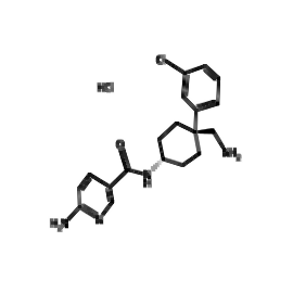 Cl.NC[C@]1(c2cccc(Cl)c2)CC[C@@H](NC(=O)c2ccc(N)nc2)CC1